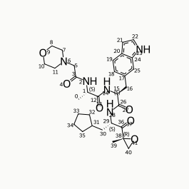 C[C@H](NC(=O)CN1CCOCC1)C(=O)N[C@@H](Cc1ccc2cc[nH]c2c1)C(=O)N[C@@H](CC1CCCC1)C(=O)[C@@]1(C)CO1